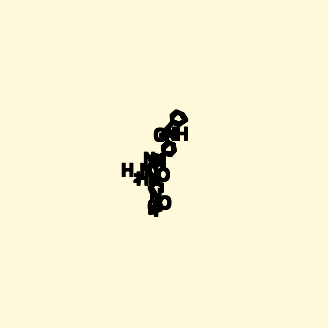 CC(C)(C)OC(=O)N1CCC(NC(=O)c2nc(-c3cccc(C(=O)NCc4ccccc4)c3)cnc2N)CC1